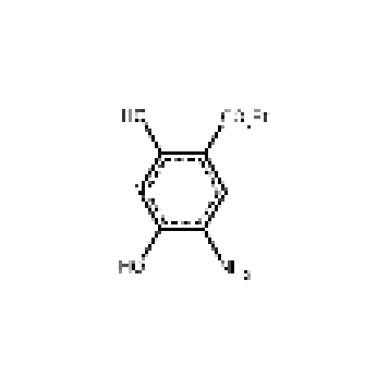 CCOC(=O)c1cc(N)c(O)nc1O